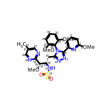 COc1cccc(-c2nnc(C[C@H](N[SH](=O)=O)[C@H](OC)c3ncc(C)cn3)n2-c2c(OC)cccc2OC)n1